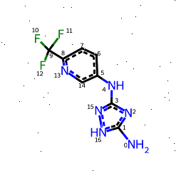 Nc1nc(Nc2ccc(C(F)(F)F)nc2)n[nH]1